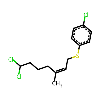 CC(=CCSc1ccc(Cl)cc1)CCCC(Cl)Cl